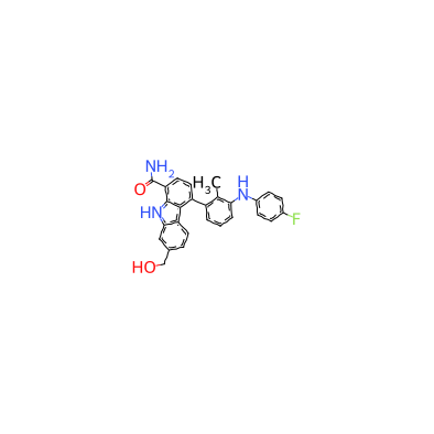 Cc1c(Nc2ccc(F)cc2)cccc1-c1ccc(C(N)=O)c2[nH]c3cc(CO)ccc3c12